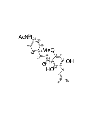 COc1cc(O)c(CC=C(C)C)c(O)c1C(=O)C=Cc1ccc(NC(C)=O)cc1